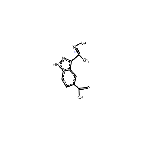 C/C(=N\O)c1n[nH]c2ccc(C(=O)O)cc12